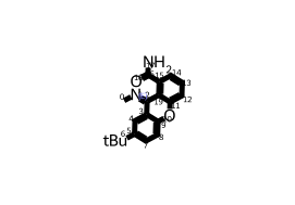 C/N=c1\c2cc(C(C)(C)C)ccc2oc2cccc(C(N)=O)c12